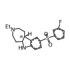 CCN1CCC2Nc3ccc(S(=O)(=O)c4cccc(F)c4)cc3[C@H]2CC1